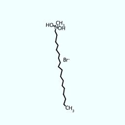 CCCCCCCCCCCCCCCCCC[N+](C)(O)O.[Br-]